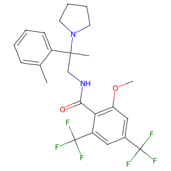 COc1cc(C(F)(F)F)cc(C(F)(F)F)c1C(=O)NCC(C)(c1ccccc1C)N1CCCC1